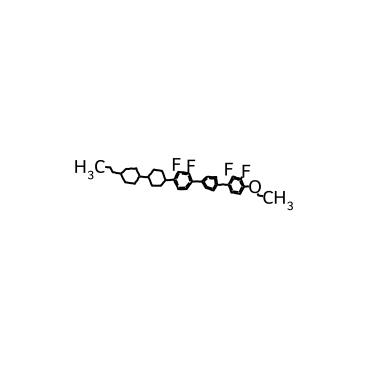 CCCC1CCC(C2CCC(c3ccc(-c4ccc(-c5ccc(OCC)c(F)c5F)cc4)c(F)c3F)CC2)CC1